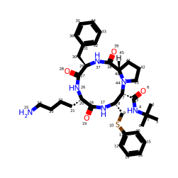 CC(C)(C)NC(=O)[C@@H]1[C@H](CSc2ccccc2)NC(=O)[C@H](CCCCN)NC(=O)[C@@H](Cc2ccccc2)NC(=O)[C@@H]2CCCN12